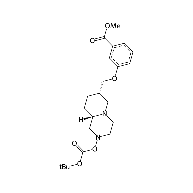 COC(=O)c1cccc(OC[C@H]2CC[C@H]3CN(OC(=O)OC(C)(C)C)CCN3C2)c1